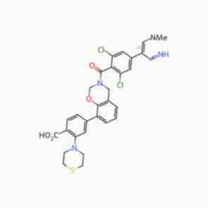 CN/C=C(\C=N)c1cc(Cl)c(C(=O)N2COc3c(cccc3-c3ccc(C(=O)O)c(N4CCSCC4)c3)C2)c(Cl)c1